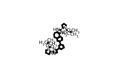 CC(C)(C)OC(=O)N1CCC[C@H]1c1nc(-c2cccc(-c3ccc4c(c3)CCCc3[nH]c([C@@H]5CCCN5C(=O)OC(C)(C)C)nc3-4)c2)c[nH]1